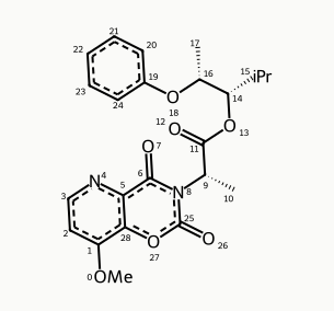 COc1ccnc2c(=O)n([C@@H](C)C(=O)O[C@@H](C(C)C)[C@@H](C)Oc3ccccc3)c(=O)oc12